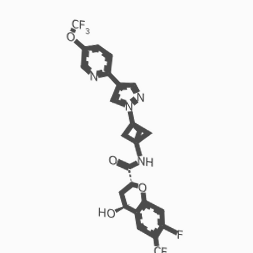 O=C(NC12CC(n3cc(-c4ccc(OC(F)(F)F)cn4)cn3)(C1)C2)[C@H]1C[C@H](O)c2cc(C(F)(F)F)c(F)cc2O1